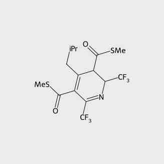 CSC(=O)C1=C(CC(C)C)C(C(=O)SC)C(C(F)(F)F)N=C1C(F)(F)F